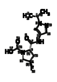 CC(C)n1cc(NC(=O)[C@@H]2C[C@@H](F)CN2C(=O)O)cn1